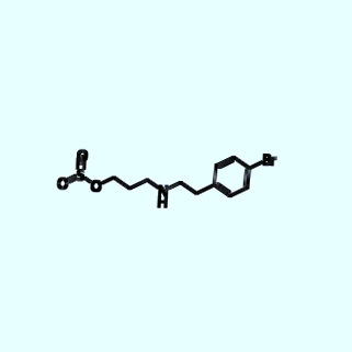 O=[SH](=O)OCCCNCCc1ccc(Br)cc1